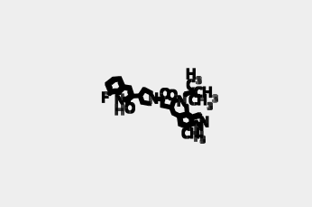 Cc1cc2c(c3cn[nH]c13)CN(CC(C)(C)C)C(=O)C(CC(=O)N1CCC(c3cc4cccc(F)c4[nH]c3=O)CC1)C2